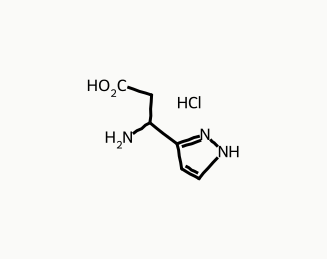 Cl.NC(CC(=O)O)c1cc[nH]n1